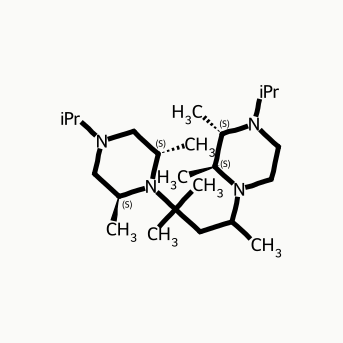 CC(C)N1C[C@H](C)N(C(C)(C)CC(C)N2CCN(C(C)C)[C@@H](C)[C@@H]2C)[C@@H](C)C1